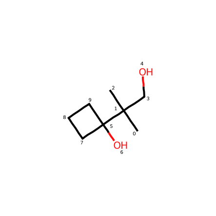 CC(C)(CO)C1(O)CCC1